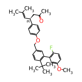 COc1ccc(F)c(-c2cc(COc3ccc([C@@H](C=C(C)C)CC(C)=O)cc3)ccc2C(C)(C)C)c1